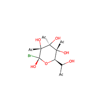 CC(=O)C(O)[C@H]1O[C@](O)(Br)[C@@](O)(C(C)=O)[C@](O)(C(C)=O)[C@@]1(O)C(C)=O